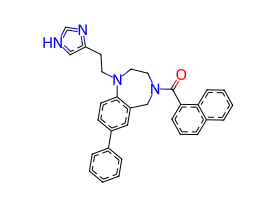 O=C(c1cccc2ccccc12)N1CCN(CCc2c[nH]cn2)c2ccc(-c3ccccc3)cc2C1